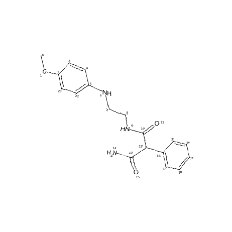 COc1ccc(NCCNC(=O)C(C(N)=O)c2ccccc2)cc1